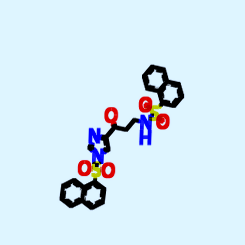 O=C(CCNS(=O)(=O)c1cccc2ccccc12)c1cn(S(=O)(=O)c2cccc3ccccc23)cn1